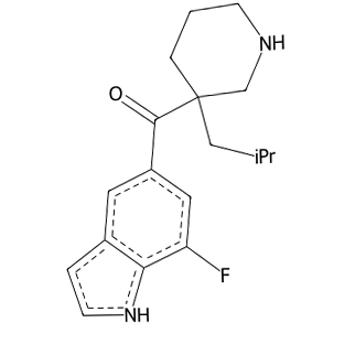 CC(C)CC1(C(=O)c2cc(F)c3[nH]ccc3c2)CCCNC1